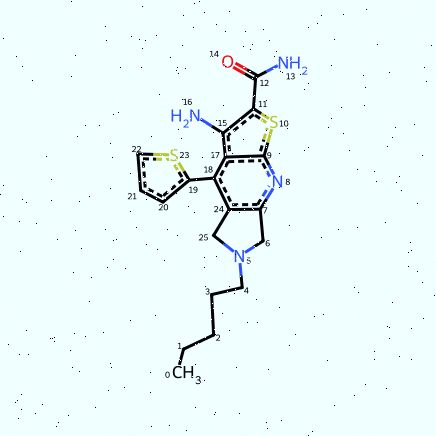 CCCCCN1Cc2nc3sc(C(N)=O)c(N)c3c(-c3cccs3)c2C1